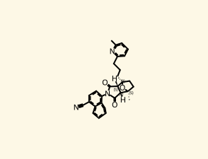 Cc1cccc(CCC[C@]23CC[C@](C)(O2)[C@@H]2C(=O)N(c4ccc(C#N)c5ccccc45)C(=O)[C@@H]23)n1